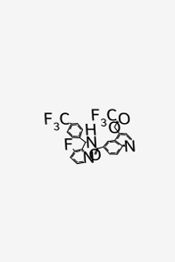 O=C(NC(c1ccc(C(F)(F)F)cc1)c1ncccc1F)c1ccc2nccc(OC(=O)C(F)(F)F)c2c1